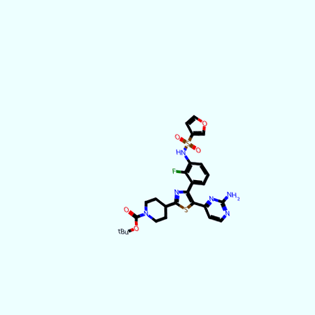 CC(C)(C)OC(=O)N1CCC(c2nc(-c3cccc(NS(=O)(=O)c4ccoc4)c3F)c(-c3ccnc(N)n3)s2)CC1